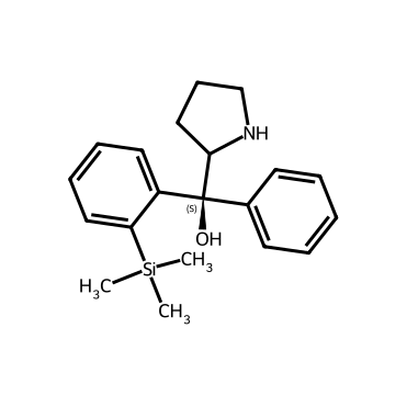 C[Si](C)(C)c1ccccc1[C@@](O)(c1ccccc1)C1CCCN1